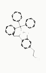 O=CC1c2ccc(CCBr)cc2ON1C(c1ccccc1)(c1ccccc1)c1ccccc1